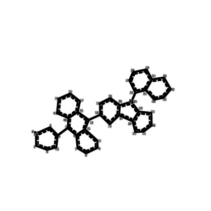 c1cncc(-c2c3ccccc3c(-c3ccc4c(c3)c3ccccc3n4-c3cccc4ccccc34)c3ccccc23)c1